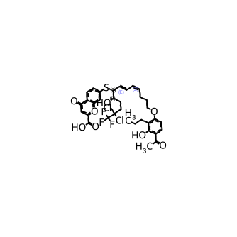 CCCc1c(OCCC/C=C\C=C\[C@H](Sc2ccc3c(=O)cc(C(=O)O)oc3c2)[C@H](O)CCC(Cl)(Cl)C(F)(F)F)ccc(C(C)=O)c1O